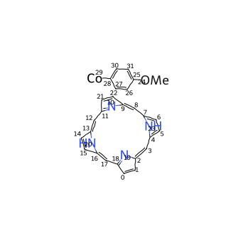 C1=Cc2cc3ccc(cc4nc(cc5ccc(cc1n2)[nH]5)C=C4)[nH]3.COc1cc[c]([Co])cc1